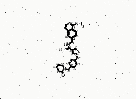 C=C(NCc1ccc2c(N)nccc2c1)c1cnn(Cc2ccc(Cn3ccccc3=O)cc2)c1